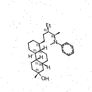 CC[C@H](CC[C@@H]1CCC[C@H]2[C@H]1CC[C@@H]1C[C@](C)(O)CC[C@@H]12)[C@@H](C)N(C)c1ccccc1